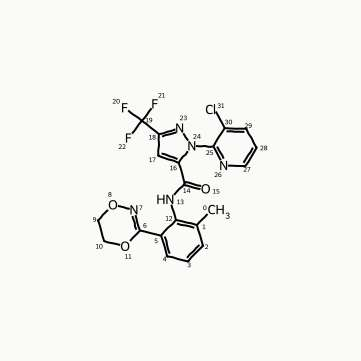 Cc1cccc(C2=NOCCO2)c1NC(=O)c1cc(C(F)(F)F)nn1-c1ncccc1Cl